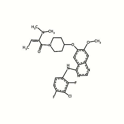 C/C=C(\C(=O)N1CCC(Oc2cc3c(Nc4ccc(F)c(Cl)c4F)ncnc3cc2OC)CC1)N(C)C